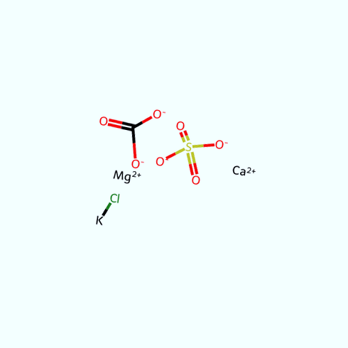 O=C([O-])[O-].O=S(=O)([O-])[O-].[Ca+2].[Cl][K].[Mg+2]